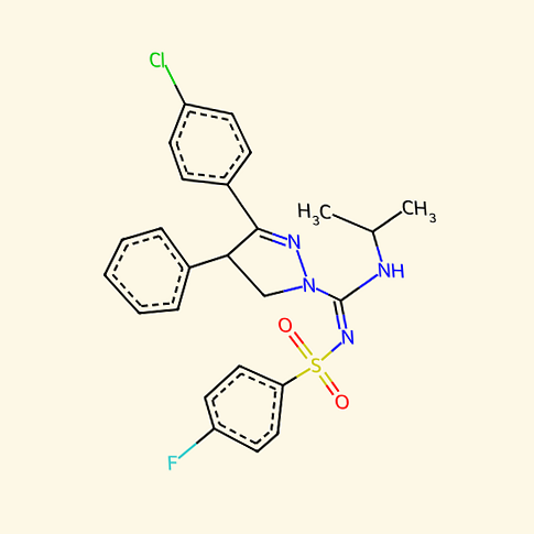 CC(C)NC(=NS(=O)(=O)c1ccc(F)cc1)N1CC(c2ccccc2)C(c2ccc(Cl)cc2)=N1